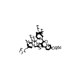 COc1ccc(-c2sc(C)nc2C(=O)N2CC(F)(F)C[C@@H](C)[C@H]2CNc2ncc(C(F)(F)F)cn2)nc1